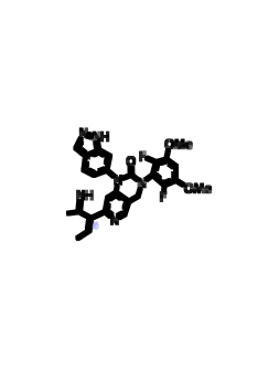 C/C=C(\C(C)=N)c1cc2c(cn1)CN(c1c(F)c(OC)cc(OC)c1F)C(=O)N2c1ccc2cn[nH]c2c1